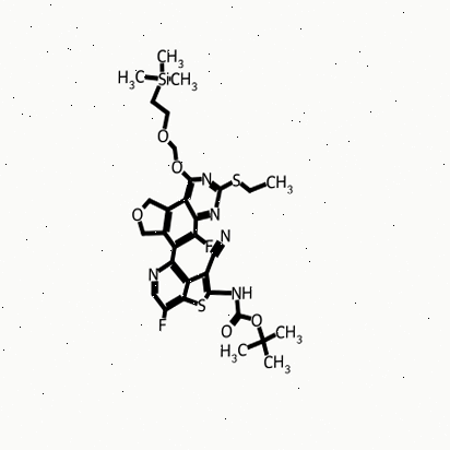 CCSc1nc(OCOCC[Si](C)(C)C)c2c3c(c(-c4ncc(F)c5sc(NC(=O)OC(C)(C)C)c(C#N)c45)c(F)c2n1)COC3